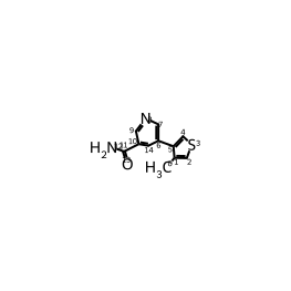 Cc1cscc1-c1cncc(C(N)=O)c1